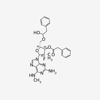 CNc1nc(N)nc2c1ncn2C1O[C@H](COC(O)Cc2ccccc2)[C@@H](OC(=O)Cc2ccccc2)[C@@]1(C)F